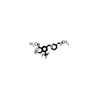 COC(=O)c1cc(CN2CCC[C@H](CSC)C2)cc(C(F)(F)F)c1CBr